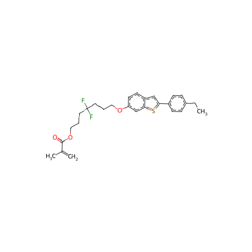 C=C(C)C(=O)OCCCC(F)(F)CCCOc1ccc2cc(-c3ccc(CC)cc3)sc2c1